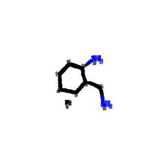 NC[C@H]1CCCC[C@@H]1N.[Pt]